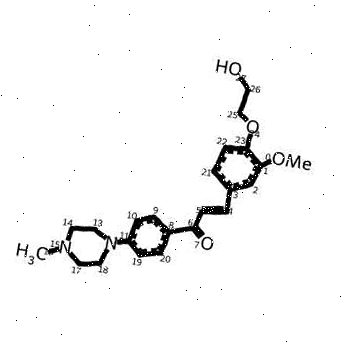 COc1cc(/C=C/C(=O)c2ccc(N3CCN(C)CC3)cc2)ccc1OCCO